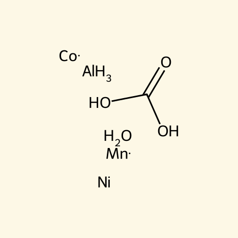 O.O=C(O)O.[AlH3].[Co].[Mn].[Ni]